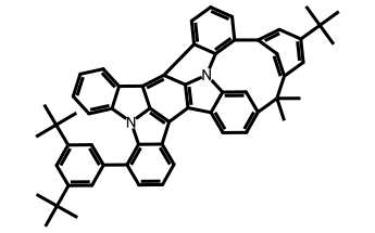 CC(C)(C)c1cc(-c2cccc3c4c5c6ccc7cc6n6c8c(cccc8c(c8c9ccccc9n(c23)c84)c56)-c2cc(C(C)(C)C)cc(c2)C7(C)C)cc(C(C)(C)C)c1